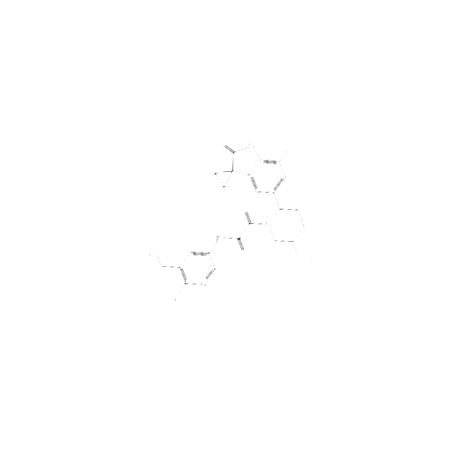 CCc1cc(NC(=O)C(=O)N2CC(C)CCC2c2cc(F)c3c(c2)C2(CC2)C(=O)N3)cnc1N